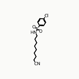 N#CCCCCCCCCNS(=O)(=O)c1ccc(Cl)cc1